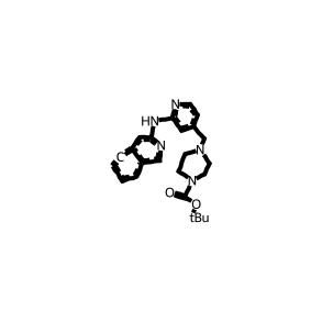 CC(C)(C)OC(=O)N1CCN(Cc2ccnc(Nc3cc4ccccc4cn3)c2)CC1